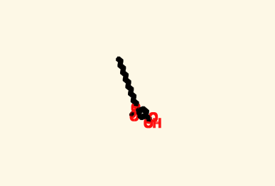 CCCCCCCCCCCCCCOc1ccc(C(=O)O)cc1OC